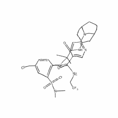 CN(C)S(=O)(=O)c1cc(Cl)ccc1OC(C)(C)C(=O)NC1CC2CCC(C1)N2c1ccc(C(=O)NCC(F)(F)F)cn1